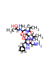 C=C(C)C(=O)N(CC(=O)NCC(C)O)C(=O)[C@H](CC(C)C)NC(=O)[C@H](Cc1ccccc1)NC(=O)CN